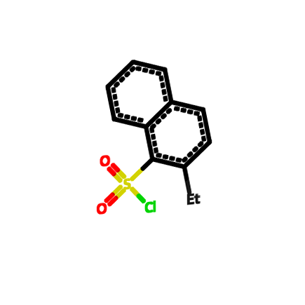 CCc1ccc2ccccc2c1S(=O)(=O)Cl